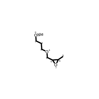 COCCCOCC1OC1C